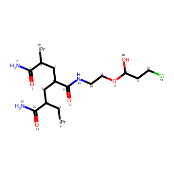 CC(C)CC(CC(CC(C(N)=O)C(C)C)C(=O)NCCOC(O)CCCl)C(N)=O